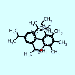 CC[PH](C)(C)c1c(C)c(C)c(C)c(C)c1-c1c(C(C)C)cc(C(C)C)cc1C(C)C